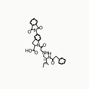 CC[C@H](C)[C@@H](CNCC(=O)N1c2ccc(N3C(=O)c4ccccc4C3=O)cc2CC1C(=O)O)NC(=O)Cc1ccccc1